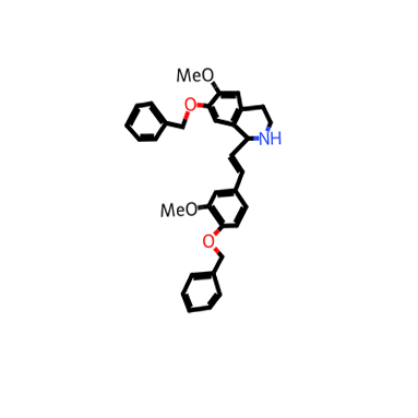 COc1cc(/C=C/C2NCCc3cc(OC)c(OCc4ccccc4)cc32)ccc1OCc1ccccc1